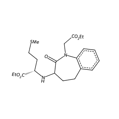 CCOC(=O)CN1C(=O)C(N[C@@H](CCSC)C(=O)OCC)CCc2ccccc21